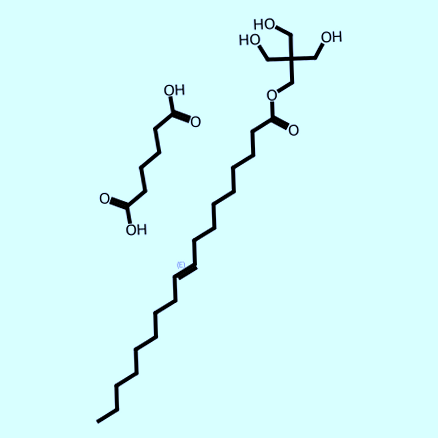 CCCCCCCC/C=C/CCCCCCCC(=O)OCC(CO)(CO)CO.O=C(O)CCCCC(=O)O